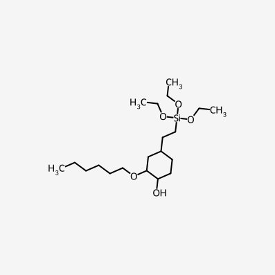 CCCCCCOC1CC(CC[Si](OCC)(OCC)OCC)CCC1O